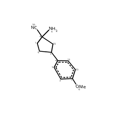 COc1ccc(C2CCC(N)(C#N)C2)cc1